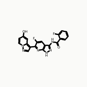 O=C(Nc1n[nH]c2nc(-c3cnn4ccc(O)cc34)c(F)cc12)c1ccccc1F